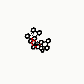 c1ccc(-c2ccccc2N(c2ccc3c(c2)-c2ccccc2-c2ccccc2N3c2ccccc2)c2ccc3c(c2)C2(c4ccccc4-c4ccccc4-3)c3ccccc3-c3cc4sc5ccccc5c4cc32)cc1